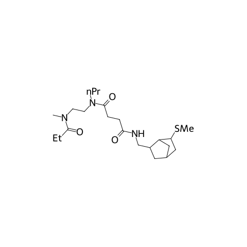 CCCN(CCN(C)C(=O)CC)C(=O)CCC(=O)NCC1CC2CC(SC)C1C2